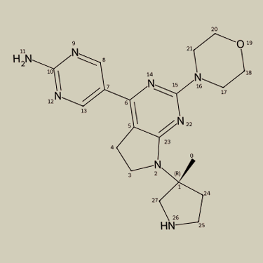 C[C@@]1(N2CCc3c(-c4cnc(N)nc4)nc(N4CCOCC4)nc32)CCNC1